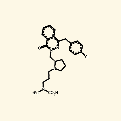 CC(C)(C)N(CCCN1CCC[C@@H]1Cn1nc(Cc2ccc(Cl)cc2)c2ccccc2c1=O)C(=O)O